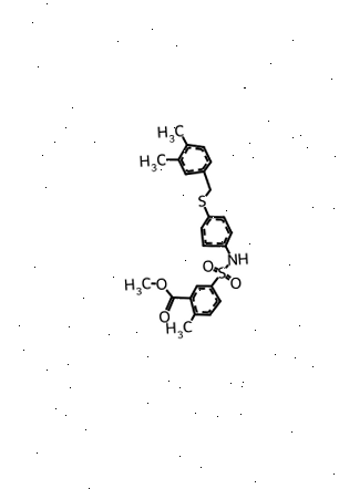 COC(=O)c1cc(S(=O)(=O)Nc2ccc(SCc3ccc(C)c(C)c3)cc2)ccc1C